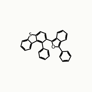 c1ccc(-c2oc(-c3ccc4sc5ccccc5c4c3-c3ccccc3)c3ccccc23)cc1